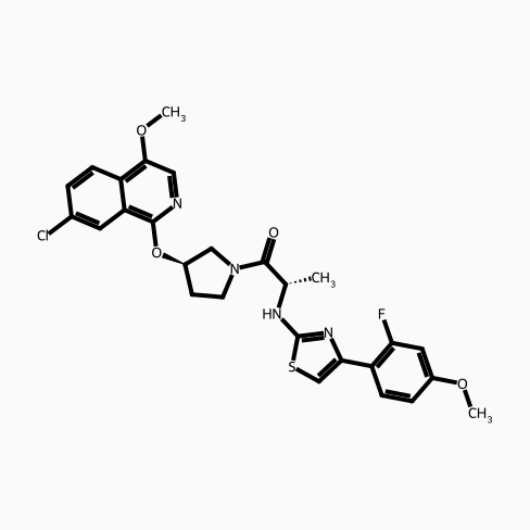 COc1ccc(-c2csc(N[C@@H](C)C(=O)N3CC[C@@H](Oc4ncc(OC)c5ccc(Cl)cc45)C3)n2)c(F)c1